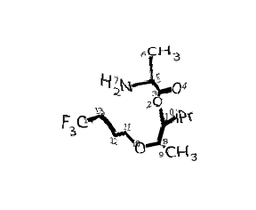 CC(C)C(OC(=O)[C@H](C)N)[C@H](C)OC/C=C/C(F)(F)F